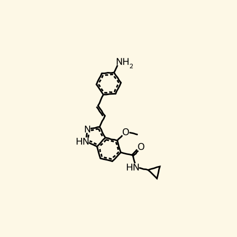 COc1c(C(=O)NC2CC2)ccc2[nH]nc(C=Cc3ccc(N)cc3)c12